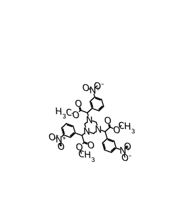 COC(=O)C(c1cccc([N+](=O)[O-])c1)N1CN(C(C(=O)OC)c2cccc([N+](=O)[O-])c2)CN(C(C(=O)OC)c2cccc([N+](=O)[O-])c2)C1